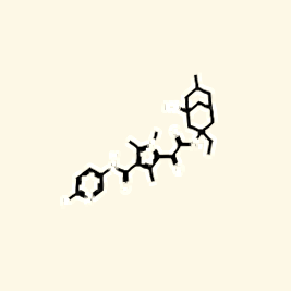 CCC1(NC(=O)C(=O)c2c(C)c(C(=O)Nc3ccc(F)nc3)c(C)n2C)CC2CC(C)CC(O)(C2)C1